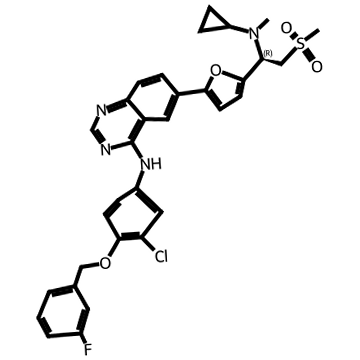 CN(C1CC1)[C@@H](CS(C)(=O)=O)c1ccc(-c2ccc3ncnc(Nc4ccc(OCc5cccc(F)c5)c(Cl)c4)c3c2)o1